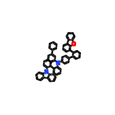 c1ccc(-c2cccc(N(c3ccc(-c4ccccc4-c4cccc5c4oc4ccccc45)cc3)c3ccccc3-c3ccccc3-n3c4ccccc4c4ccccc43)c2)cc1